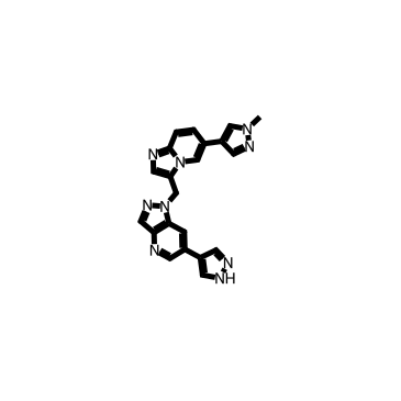 Cn1cc(-c2ccc3ncc(Cn4ncc5ncc(-c6cn[nH]c6)cc54)n3c2)cn1